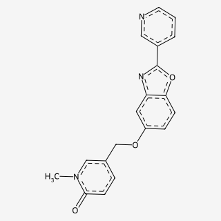 Cn1cc(COc2ccc3oc(-c4cccnc4)nc3c2)ccc1=O